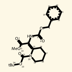 COC(=O)C(NC(=O)OCc1ccccc1)=C1CCCCN1C(=O)OC(C)(C)C